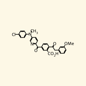 COc1cccc(CC(=O)c2ccc(C(=O)c3ccc(N(C)c4ccc(Cl)cc4)cn3)cc2C(=O)O)c1